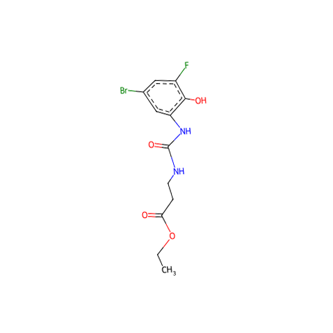 CCOC(=O)CCNC(=O)Nc1cc(Br)cc(F)c1O